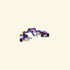 COc1cccc(OC)c1-c1cc(C(=O)NC2(C(=O)O)C3CC4CC(C3)CC2C4)nn1-c1ccc(C(=O)N(C)CCCN(C)CCCC(C)C(CCCCCN(C)CCCN(C)CCCN(C)C(=O)c2ccc(-n3nc(C(=O)NC4(C(=O)O)C5CC6CC(C5)CC4C6)cc3-c3c(OC)cccc3OC)c(C(C)C)c2)C(=O)CNC(CCCCN)C(N)=O)cc1C(C)C